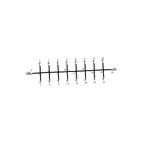 CCCCC(F)(F)C(F)(F)C(F)(F)C(F)(F)C(F)(F)C(F)(F)C(F)(F)C(F)(F)CCC